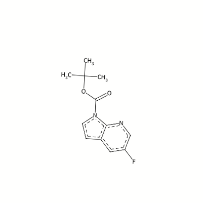 CC(C)(C)OC(=O)n1ccc2cc(F)cnc21